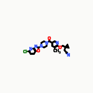 Cc1cc(C(=O)N2CCN(c3nc4nc(Cl)ccc4o3)CC2)cnc1OCC1(CC#N)CC1